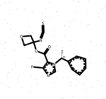 C[C@H](c1ccccc1)n1cnc(F)c1C(=O)OC1(N=C=S)COC1